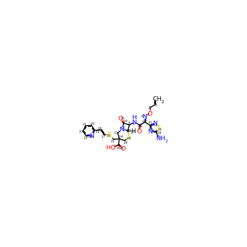 C=CCON=C(C(=O)NC1C(=O)N2CC(CSC=Cc3ccccn3)(C(=O)O)CS[C@H]12)c1nsc(N)n1